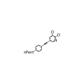 CCCCCc1ccc(C#Cc2cnc(Cl)c(Cl)c2)cc1